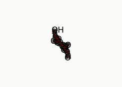 O=C(Oc1ccc(OC(=O)c2ccc(OCCCCCCC3CC(O)C3)cc2)c(C(=O)OCCC2CO2)c1)c1ccc(C(=O)Oc2ccc(OC(=O)c3ccc(OCCCCCCC4CO4)cc3)c(C(=O)OCCC3CO3)c2)cc1